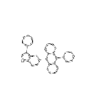 c1ccc(-c2coc3ccc(-c4c5ccccc5c(-c5ccccc5)c5ccccc45)cc23)cc1